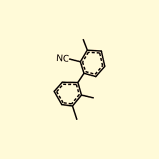 Cc1cccc(-c2cccc(C)c2C#N)c1C